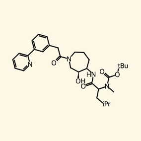 CC(C)CC(C(=O)NC1CCCN(C(=O)Cc2cccc(-c3ccccn3)c2)C[C@@H]1O)N(C)C(=O)OC(C)(C)C